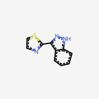 c1ccc2c(-c3nccs3)n[nH]c2c1